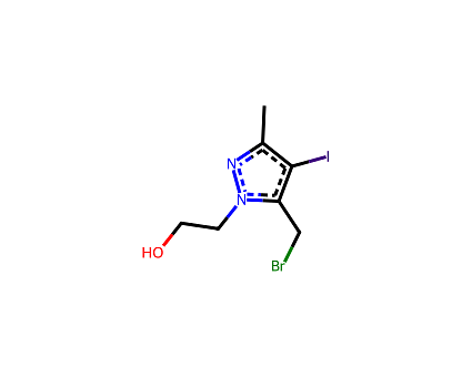 Cc1nn(CCO)c(CBr)c1I